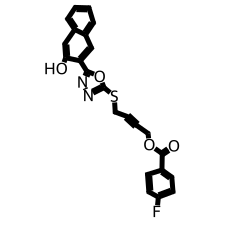 O=C(OCC#CCSc1nnc(-c2cc3ccccc3cc2O)o1)c1ccc(F)cc1